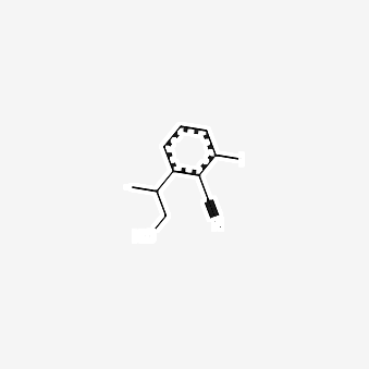 [CH2]C(CO)c1cccc(I)c1C#N